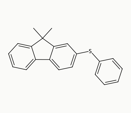 CC1(C)c2ccccc2-c2ccc(Sc3ccccc3)cc21